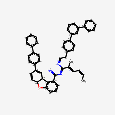 C/C=C\C=C(/C)C(=NC(=N)c1cccc2c1C1C=C(c3ccc(-c4ccccc4)cc3)C=CC1O2)/N=C\Cc1ccc(-c2cccc(-c3ccccc3)c2)cc1